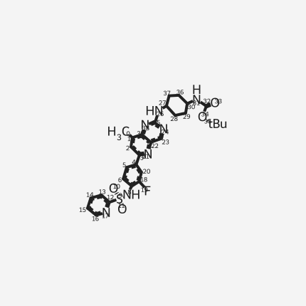 Cc1cc(-c2ccc(NS(=O)(=O)c3ccccn3)c(F)c2)nc2cnc(NC3CCC(NC(=O)OC(C)(C)C)CC3)nc12